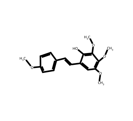 COc1ccc(C=Cc2cc(OC)c(OC)c(OC)c2O)cc1